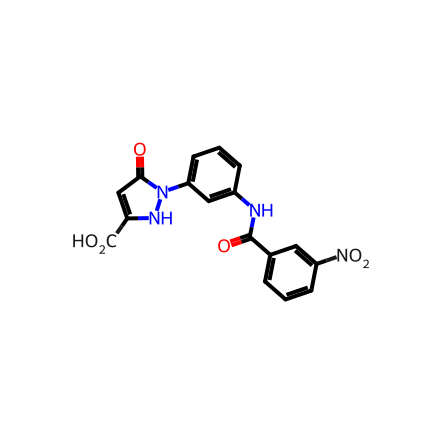 O=C(Nc1cccc(-n2[nH]c(C(=O)O)cc2=O)c1)c1cccc([N+](=O)[O-])c1